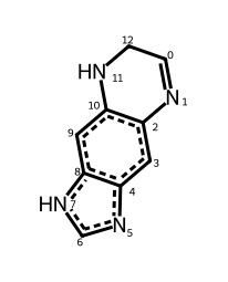 C1=Nc2cc3nc[nH]c3cc2NC1